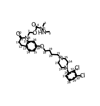 CNN(C)C(=O)OCN1C(=O)CCc2ccc(OCCCCN3CCN(c4cccc(Cl)c4Cl)CC3)cc21